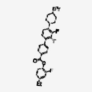 CCCC1CCC(c2ccc(-c3ccc(C(=O)Oc4ccc(CC)cc4F)cc3)c(F)c2F)CC1